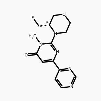 Cn1c(N2CCOC[C@H]2CF)nc(-c2ccncn2)cc1=O